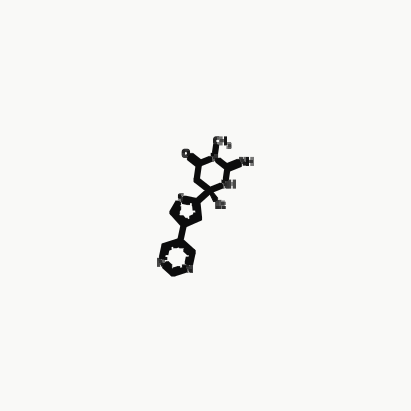 CC[C@@]1(c2cc(-c3cncnc3)cs2)CC(=O)N(C)C(=N)N1